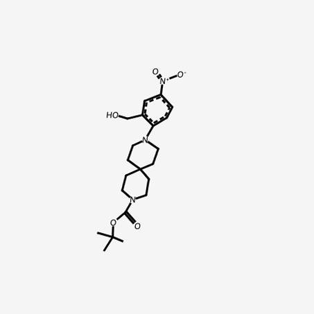 CC(C)(C)OC(=O)N1CCC2(CC1)CCN(c1ccc([N+](=O)[O-])cc1CO)CC2